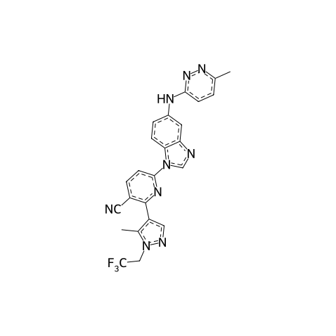 Cc1ccc(Nc2ccc3c(c2)ncn3-c2ccc(C#N)c(-c3cnn(CC(F)(F)F)c3C)n2)nn1